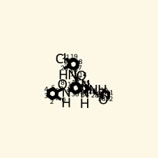 Cc1ccccc1C(=O)Nc1cc(C(=O)Nc2cccc(Cl)c2C)c2nc(NC[C@@H]3CCCO3)[nH]c2c1